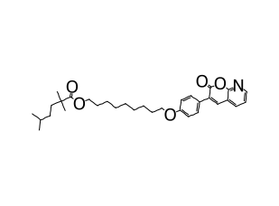 CC(C)CCC(C)(C)C(=O)OCCCCCCCCCOc1ccc(-c2cc3cccnc3oc2=O)cc1